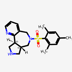 Cc1cc(C)c(S(=O)(=O)N2Cc3cccnc3[C@@H]3CNC[C@H]3C2)c(C)c1